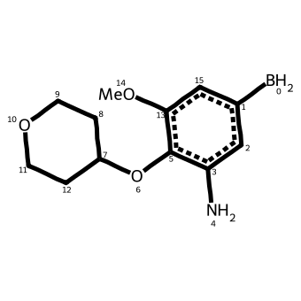 Bc1cc(N)c(OC2CCOCC2)c(OC)c1